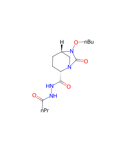 CCCCON1C(=O)N2C[C@@H]1CC[C@H]2C(=O)NNC(=O)CCC